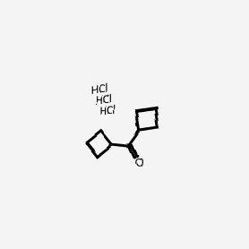 Cl.Cl.Cl.O=C(C1CCC1)C1CCC1